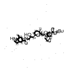 Cc1cc(C(=O)NC[C@@H](O)C[C@H]2CC[C@@H](C)[C@](CCN3CCOC[C@@]34CCN(C(=O)OC(C)(C)C)C4)(C(=O)O)O2)cc2cc[nH]c12